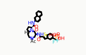 CC(=O)N1CC[C@H]2CC[C@@H](C(=O)Nc3ccc4ccccc4c3)N2C(=O)C(NC(=O)c2cc3cc(C(F)(F)P(=O)(O)O)ccc3s2)C1